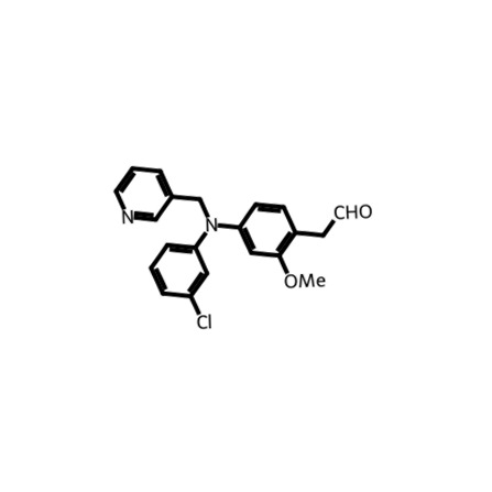 COc1cc(N(Cc2cccnc2)c2cccc(Cl)c2)ccc1CC=O